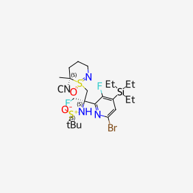 CC[Si](CC)(CC)c1cc(Br)nc([C@](CF)(CS2(=O)=NCCC[C@@]2(C)C#N)N[S@+]([O-])C(C)(C)C)c1F